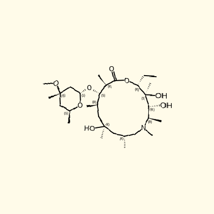 CC[C@H]1OC(=O)[C@H](C)[C@@H](O[C@H]2C[C@@](C)(OC)C[C@H](C)O2)[C@H](C)C[C@](C)(O)C[C@@H](C)CN(C)[C@H](C)[C@@H](O)[C@]1(C)O